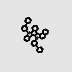 c1ccc(-c2cccc(-n3c4ccccc4c4c3c3ccccc3c3c5c6ccccc6ccc5n(-c5cccc(-c6ccccc6)c5)c34)c2)cc1